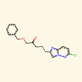 O=C(CCCc1cn2nc(Cl)ccc2n1)COCc1ccccc1